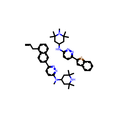 C=CCc1cccc2cc(-c3ccc(N(C)C4CC(C)(C)NC(C)(C)C4)nn3)ccc12.CN1C(C)(C)CC(Nc2ccc(-c3cc4ccccc4s3)nn2)CC1(C)C